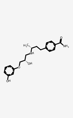 C[C@H](CCc1ccc(C(N)=O)cc1)NC[C@H](O)COc1cccc(O)c1